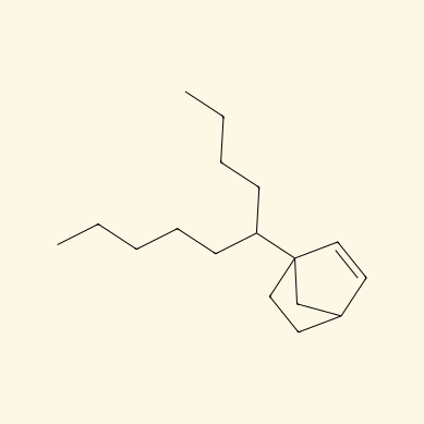 CCCCCC(CCCC)C12C=CC(CC1)C2